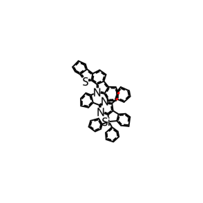 c1ccc(-c2nc(-c3ccccc3-n3c4ccccc4c4ccc5c6ccccc6sc5c43)nc3c2-c2ccccc2[Si]3(c2ccccc2)c2ccccc2)cc1